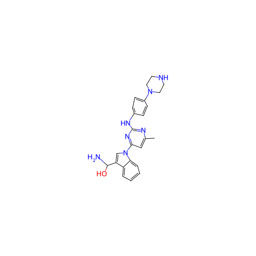 Cc1cc(-n2cc(C(N)O)c3ccccc32)nc(Nc2ccc(N3CCNCC3)cc2)n1